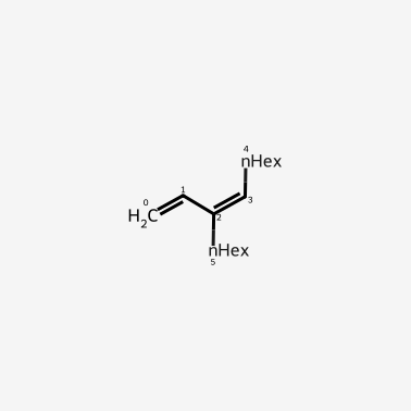 C=CC(=CCCCCCC)CCCCCC